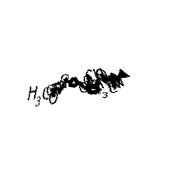 COC(=O)N1CCN(C(=O)c2ccc(COc3cccc(CNC(=O)c4cc(C5CC5)nn4C)c3OC)cc2)CC1